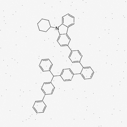 c1ccc(-c2ccc(C(c3ccccc3)c3ccc(-c4ccccc4-c4ccc(-c5ccc6c(c5)c5ccccc5n6C5CCCCC5)cc4)cc3)cc2)cc1